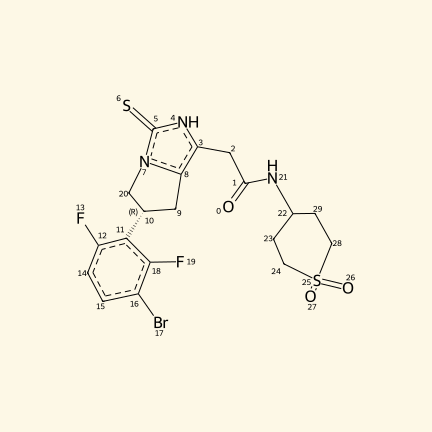 O=C(Cc1[nH]c(=S)n2c1C[C@H](c1c(F)ccc(Br)c1F)C2)NC1CCS(=O)(=O)CC1